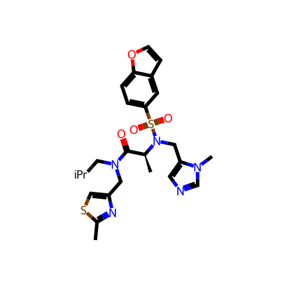 Cc1nc(CN(CC(C)C)C(=O)[C@H](C)N(Cc2cncn2C)S(=O)(=O)c2ccc3occc3c2)cs1